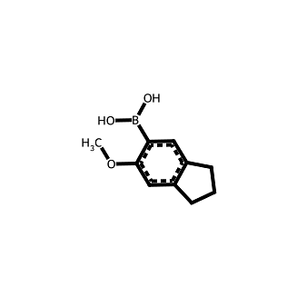 COc1cc2c(cc1B(O)O)CCC2